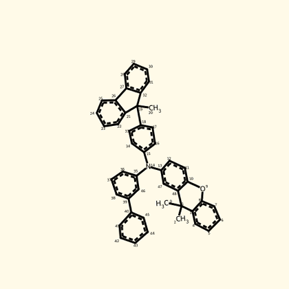 CC1(C)c2ccccc2Oc2ccc(N(c3ccc(C4(C)c5ccccc5-c5ccccc54)cc3)c3cccc(-c4ccccc4)c3)cc21